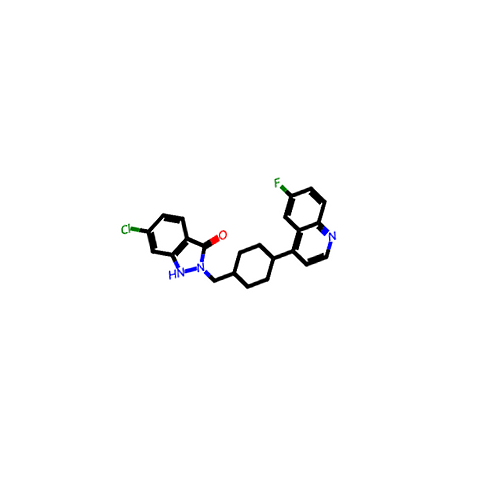 O=c1c2ccc(Cl)cc2[nH]n1CC1CCC(c2ccnc3ccc(F)cc23)CC1